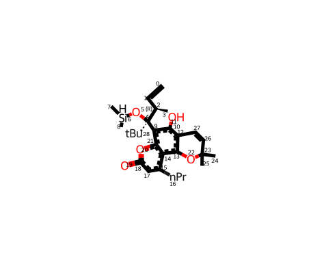 C=C[C@@H](C)[C@](O[SiH](C)C)(c1c(O)c2c(c3c(CCC)cc(=O)oc13)OC(C)(C)C=C2)C(C)(C)C